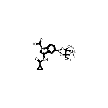 CC1(C)OB(c2ccc3c(c2)c(NC(=O)C2CC2)cn3C(=O)O)OC1(C)C